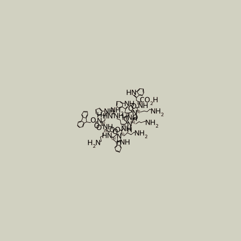 N=C(N)NCCC[C@H](NC(=O)[C@H](CCCCN)NC(=O)[C@H](Cc1c[nH]c2ccccc12)NC(=O)[C@H](CCCCN)NC(=O)[C@H](Cc1c[nH]c2ccccc12)NC(=O)OCC1c2ccccc2-c2ccccc21)C(=O)N[C@@H](CCCCN)C(=O)N[C@@H](Cc1c[nH]c2ccccc12)C(=O)N[C@@H](CCCCN)C(=O)N[C@@H](Cc1c[nH]c2ccccc12)C(=O)O